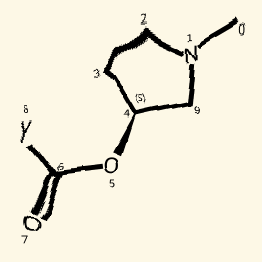 CN1CC[C@H](O[C](=O)[Y])C1